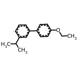 CCOc1ccc(-c2cc[c]c(C(C)C)c2)cc1